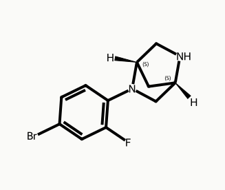 Fc1cc(Br)ccc1N1C[C@@H]2C[C@H]1CN2